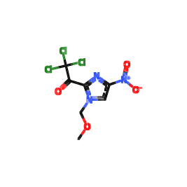 COCn1cc([N+](=O)[O-])nc1C(=O)C(Cl)(Cl)Cl